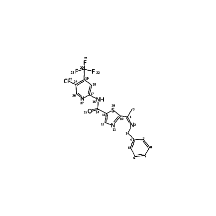 CC(=NCc1ccccc1)c1ncc(C(=O)Nc2cc(C(F)(F)F)c(Cl)cn2)s1